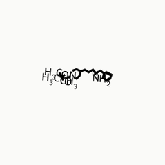 CC(C)(C)OC(=O)N1CCC(CCC[C@@H](N)Cc2ccccc2)CC1